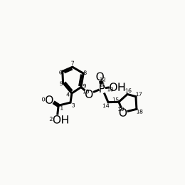 O=C(O)Cc1ccccc1OP(=O)(O)CC1CCCO1